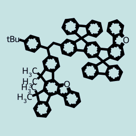 CC(C)(C)c1ccc(C(Cc2ccc3c(c2)C2(c4ccccc4-c4ccccc42)c2cc4c(cc2-3)C2(c3ccccc3-c3ccccc32)c2ccc3oc5ccccc5c3c2-4)c2ccc3c(c2)C(C)(C)c2c4c(c5c(oc6ccccc65)c2-3)-c2ccccc2C4(C)C)cc1